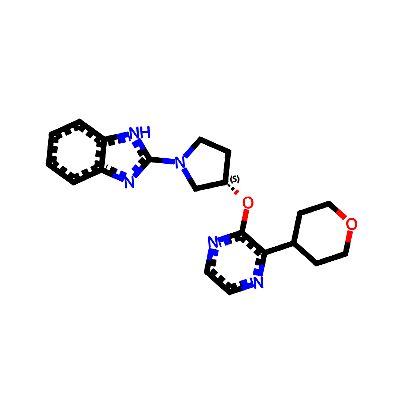 c1ccc2[nH]c(N3CC[C@H](Oc4nccnc4C4CCOCC4)C3)nc2c1